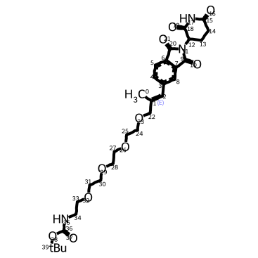 C/C(=C\c1ccc2c(c1)C(=O)N(C1CCC(=O)NC1=O)C2=O)COCCOCCOCCOCCNC(=O)OC(C)(C)C